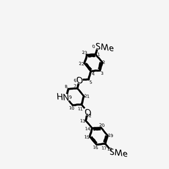 CSc1ccc(COC2CNCC(OCc3ccc(SC)cc3)C2)cc1